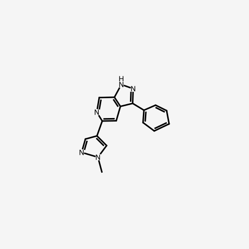 Cn1cc(-c2cc3c(-c4ccccc4)n[nH]c3cn2)cn1